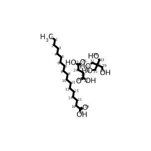 CCCCCCCCCCCCCCCCCC(=O)O.O=C(O)CCC(=O)O.OCC(CO)(CO)CO